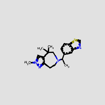 CC(c1ccc2scnc2c1)N1CCc2nn(C)cc2C(C)(C)C1